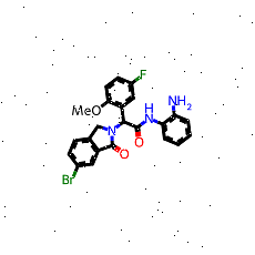 COc1ccc(F)cc1C(C(=O)Nc1ccccc1N)N1Cc2ccc(Br)cc2C1=O